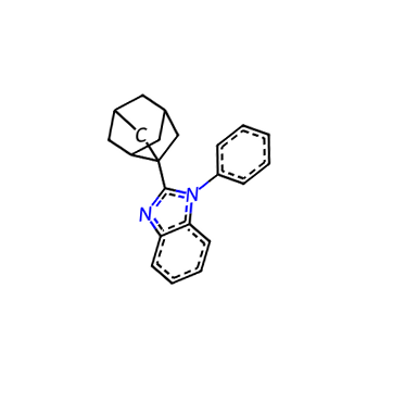 c1ccc(-n2c(C34CC5CC(CC3C5)C4)nc3ccccc32)cc1